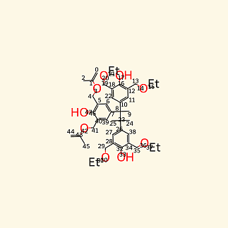 C=C(C)OCc1cc(C(C)(c2cc(COCC)c(O)c(COCC)c2)C(C)(C)c2cc(COCC)c(O)c(COCC)c2)cc(COC(=C)C)c1O